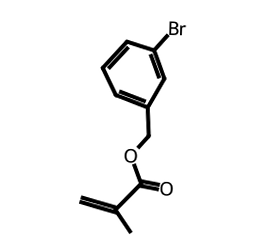 C=C(C)C(=O)OCc1cccc(Br)c1